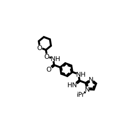 CC(C)n1ccnc1C(=N)Nc1ccc(C(=O)NOC2CCCCO2)cc1